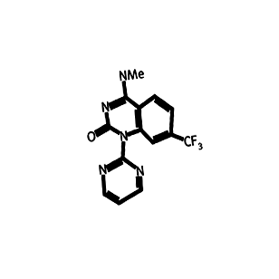 CNc1nc(=O)n(-c2ncccn2)c2cc(C(F)(F)F)ccc12